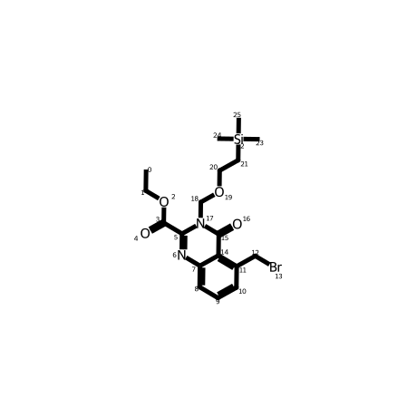 CCOC(=O)c1nc2cccc(CBr)c2c(=O)n1COCC[Si](C)(C)C